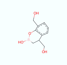 OCc1cccc2c1OB(O)CC2CO